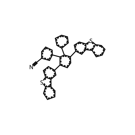 N#Cc1cccc(-c2c(-c3ccc4sc5ccccc5c4c3)ccc(-c3ccc4sc5ccccc5c4c3)c2-c2ccccc2)c1